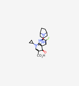 CCNC1CC2CCC(C1)N2c1nc2c(cc1F)c(=O)c(C(=O)O)cn2C1CC1